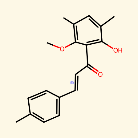 COc1c(C)cc(C)c(O)c1C(=O)/C=C/c1ccc(C)cc1